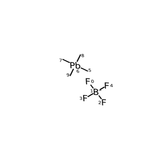 F[B-](F)(F)F.[CH3][Pb]([CH3])([CH3])[CH3]